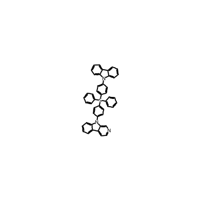 c1ccc(S(c2ccccc2)(c2ccc(-n3c4ccccc4c4ccccc43)cc2)c2ccc(-n3c4ccccc4c4ccncc43)cc2)cc1